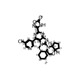 C[C@H]1CC[C@H](Cn2c(N3CCO[C@H]4CCC[C@@H]43)nc3nc(-c4noc(=O)[nH]4)nc(-c4cncc(Cl)c4)c32)CC1